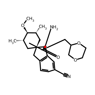 CO[C@H]1[C@H](C)C[C@@]2(Cc3ccc(C#N)cc3[C@]23N=C(N)N(CC2COCCO2)C3=O)C[C@@H]1C